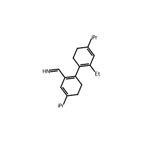 CCC1=C(C2=C(C=N)C=C(C(C)C)CC2)CCC(C(C)C)=C1